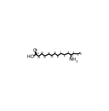 CCCC(N)CCCCCCCCCCC(=O)O